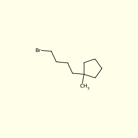 CC1(CCCCBr)CCCC1